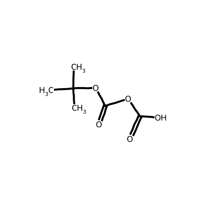 CC(C)(C)OC(=O)OC(=O)O